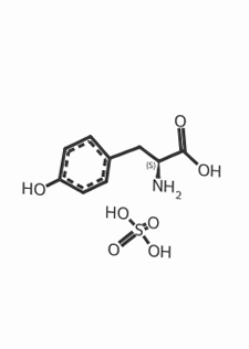 N[C@@H](Cc1ccc(O)cc1)C(=O)O.O=S(=O)(O)O